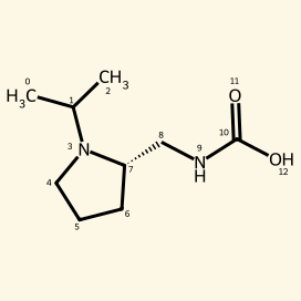 CC(C)N1CCC[C@H]1CNC(=O)O